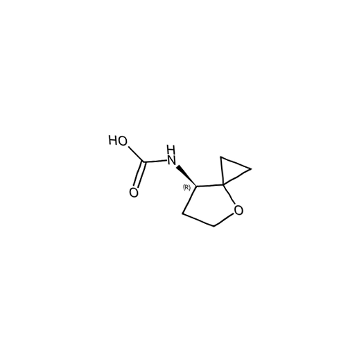 O=C(O)N[C@@H]1CCOC12CC2